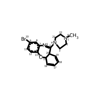 CN1CCN(C2=Nc3cc(Br)ccc3OC3C=CC=CC23)CC1